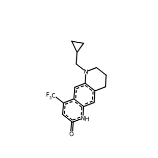 O=c1cc(C(F)(F)F)c2cc3c(cc2[nH]1)CCCN3CC1CC1